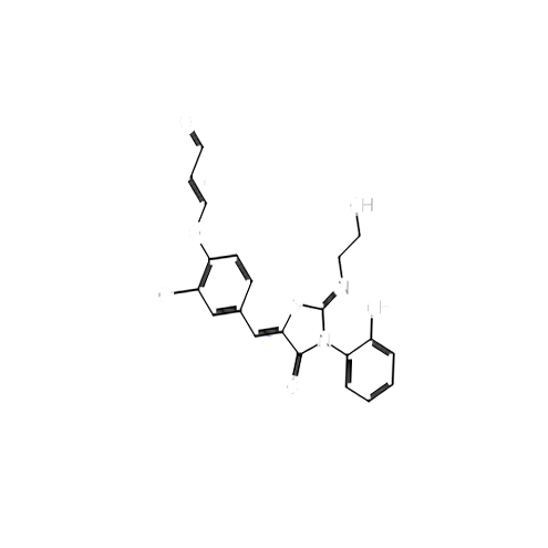 CCC/N=C1\S/C(=C\c2ccc(O/C=C/C=O)c(Cl)c2)C(=O)N1c1ccccc1C